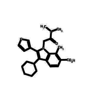 Cc1c(C(=O)O)ccc2c(C3CCCCC3)c(-c3ccoc3)n(CC(=O)N(C)C)c12